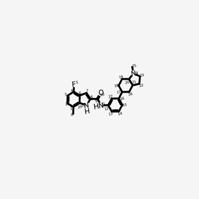 Cc1ccc(F)c2cc(C(=O)Nc3cccc(C4CCC5C(CCN5C)C4)c3)[nH]c12